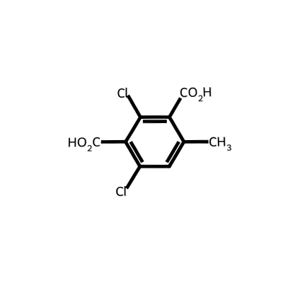 Cc1cc(Cl)c(C(=O)O)c(Cl)c1C(=O)O